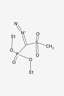 CCOP(=O)(OCC)C(=[N+]=[N-])S(C)(=O)=O